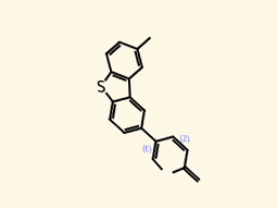 C=C(C)/C=C\C(=C/C)c1ccc2sc3ccc(C)cc3c2c1